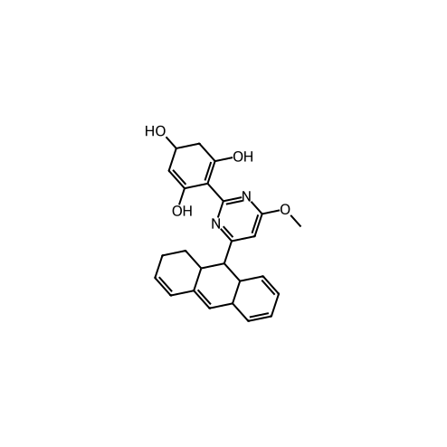 COc1cc(C2C3CCC=CC3=CC3C=CC=CC32)nc(C2=C(O)CC(O)C=C2O)n1